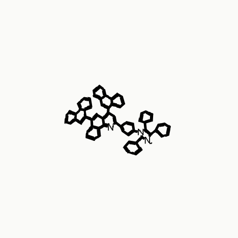 CN1C(c2ccccc2)=C(c2ccccc2)N(c2ccc(-c3cc(-c4cc5ccccc5c5ccccc45)c4cc(-c5cc6ccccc6c6ccccc56)c5ccccc5c4n3)cc2)C1c1ccccc1